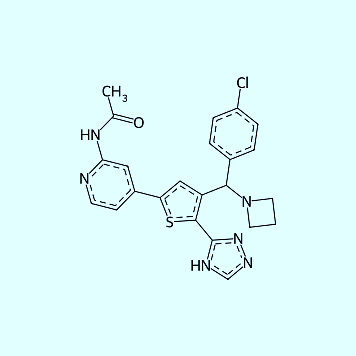 CC(=O)Nc1cc(-c2cc(C(c3ccc(Cl)cc3)N3CCC3)c(-c3nnc[nH]3)s2)ccn1